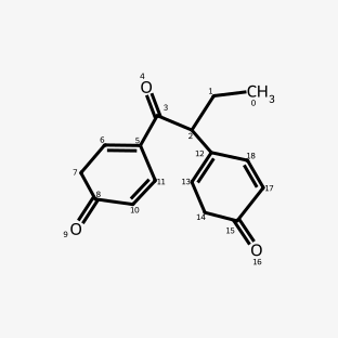 CCC(C(=O)C1=CCC(=O)C=C1)C1=CCC(=O)C=C1